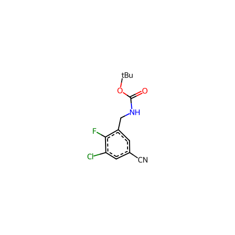 CC(C)(C)OC(=O)NCc1cc(C#N)cc(Cl)c1F